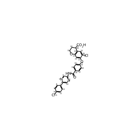 O=C(Nc1cnc(-c2ccc(Cl)cc2)cn1)c1ccc(Oc2cc3c(cc2Cl)C(C(=O)O)CCO3)cc1